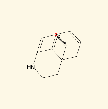 C1=CCC23CCNC(=Cc4ccccc42)C3=C1